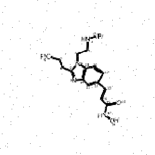 CC(C)NCCn1c(CCC(F)(F)F)nc2cc(C=CC(=O)NO)ccc21